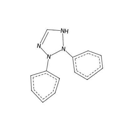 C1=NN(c2ccccc2)N(c2ccccc2)N1